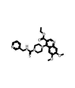 CCOC(=O)c1cnc2cc(OC)c(OC)cc2c1N1CCN(C(=S)NCc2cccnc2)CC1